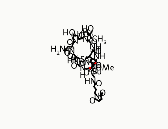 CC[C@H](C)[C@@H]1NC(=O)CNC(=O)[C@@H]2Cc3c([nH]c4c(CSCCNC(=O)CCCN5C(=O)C=CC5=O)c(OC)ccc34)[S+]([O-])C[C@H](NC(=O)CNC1=O)C(=O)N[C@@H](CC(N)=O)C(=O)N1C[C@H](O)CC1C(=O)N[C@@H](C(C)[C@@H](O)CO)C(=O)N2